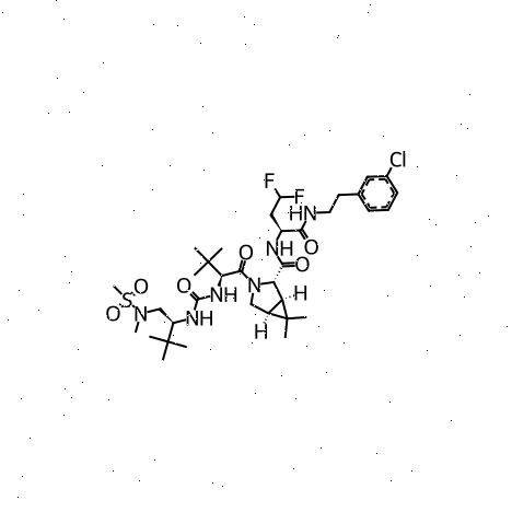 CN(C[C@@H](NC(=O)N[C@H](C(=O)N1C[C@H]2[C@@H]([C@H]1C(=O)N[C@@H](CC(F)F)C(=O)NCCc1cccc(Cl)c1)C2(C)C)C(C)(C)C)C(C)(C)C)S(C)(=O)=O